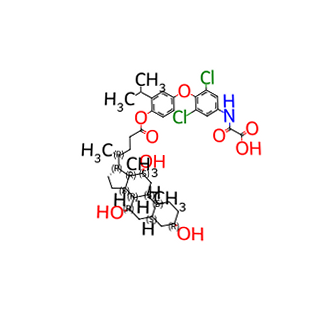 CC(C)c1cc(Oc2c(Cl)cc(NC(=O)C(=O)O)cc2Cl)ccc1OC(=O)CC[C@@H](C)[C@H]1CC[C@H]2[C@@H]3[C@H](O)C[C@@H]4C[C@H](O)CC[C@]4(C)[C@H]3C[C@H](O)[C@]12C